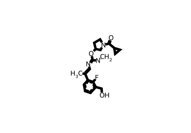 C=N/C(=N\C=C(/C)c1cccc(CO)c1F)OC1CCN(C(=O)C2CC2)C1